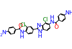 Nc1ccc(C(=O)Nc2ccc(-c3nc4c(Cl)c(NC(=O)c5ccc(N)cc5)ccc4[nH]3)cc2Cl)cc1